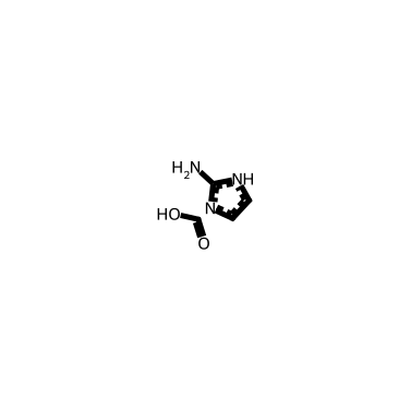 Nc1ncc[nH]1.O=CO